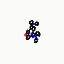 c1ccc(-c2nc(-c3cccc4oc5ccc(-c6ccc7c(c6)c6ccccc6n7-c6ccccc6)cc5c34)nc3c2c2ccccc2n3-c2ccccc2)cc1